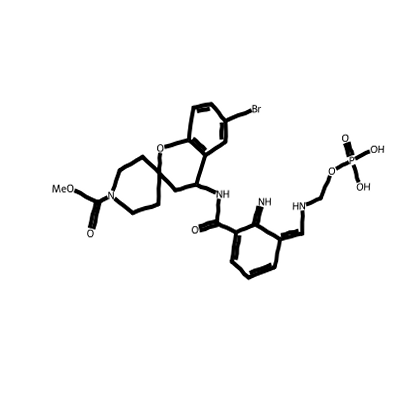 COC(=O)N1CCC2(CC1)CC(NC(=O)C1=CC=C/C(=C/NCOP(=O)(O)O)C1=N)c1cc(Br)ccc1O2